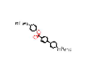 CCCCCCC1CCC(OC(=O)c2ccc(C3CCC(CCCCC)CC3)cc2)CC1